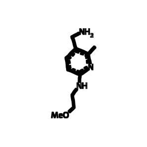 COCCNc1ccc(CN)c(C)n1